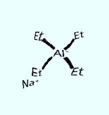 C[CH2][Al-]([CH2]C)([CH2]C)[CH2]C.[Na+]